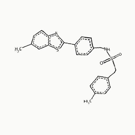 Cc1ccc(CS(=O)(=O)Nc2ccc(-c3nc4ccc(C)cc4s3)cc2)cc1